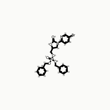 O=C1OC(COP(=O)(OCc2ccccc2)OCc2ccccc2)CN1c1ccc(Br)cn1